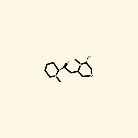 CC(=O)[C@@H]1COCC(CC(=O)[C@@H]2CCCCN2C)N1C